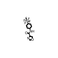 O=C(Nc1ccc(S(F)(F)(F)(F)F)cc1)c1cocn1